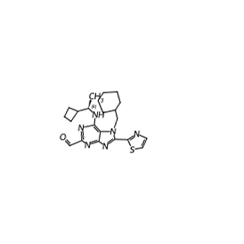 C[C@@H](Nc1nc(C=O)nc2nc(-c3nccs3)n(CC3CCCCC3)c12)C1CCC1